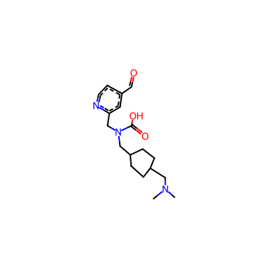 CN(C)CC1CCC(CN(Cc2cc(C=O)ccn2)C(=O)O)CC1